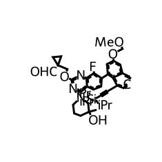 COCOc1cc(-c2ccc3c(N4CCCC(C)(O)C4)nc(OCC4(C=O)CC4)nc3c2F)c2c(C#C[Si](C(C)C)(C(C)C)C(C)C)cccc2c1